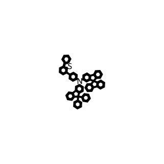 c1ccc(C2(c3ccccc3)c3ccccc3-c3cc(N(c4ccc(-c5cccc6c5sc5ccccc56)cc4)c4ccc5c(c4)C4(c6ccccc6-c6ccccc64)c4ccccc4-5)ccc32)cc1